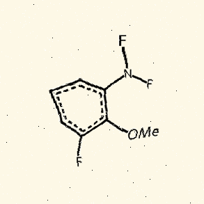 COc1c(F)cccc1N(F)F